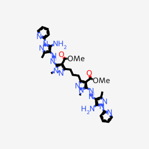 COC(=O)c1c(CCCc2nn(C)c(/N=N/c3c(C)nn(-c4ccccn4)c3N)c2C(=O)OC)nn(C)c1/N=N/c1c(C)nn(-c2ccccn2)c1N